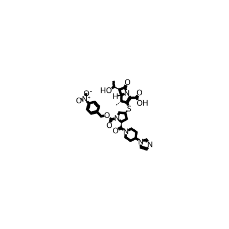 CC(O)[C@H]1C(=O)N2C(C(=O)O)=C(S[C@H]3C[C@@H](C(=O)N4CCC(n5ccnc5)CC4)N(C(=O)OCc4ccc([N+](=O)[O-])cc4)C3)[C@H](C)[C@H]12